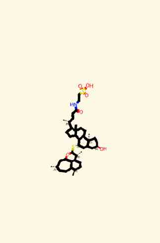 C[C@H]1CCC2C3C(C1)OC(S[C@H]1CC4C[C@H](O)CC[C@]4(C)C4CCC5(C)C(CCC5[C@H](C)CCC(=O)NCCS(=O)(=O)O)C41)[C@H](C)C3CC[C@H]2C